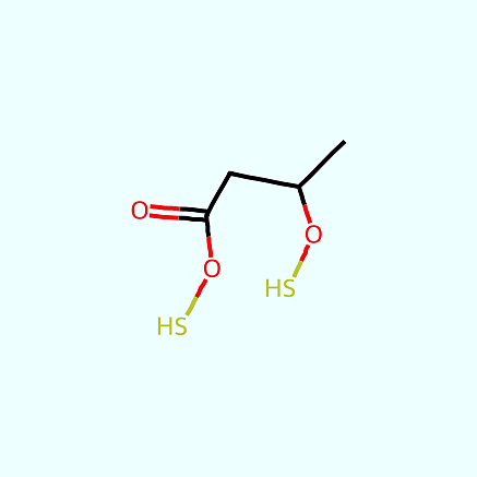 CC(CC(=O)OS)OS